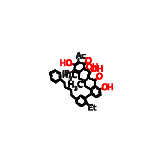 CCc1ccc(CCCCc2ccccc2)cc1-c1ccc(O)c2c1C[C@]1(C)C[C@]3(C)C(C(C)C)C(O)=C(C(C)=O)C(=O)[C@]3(O)C(O)=C1C2=O